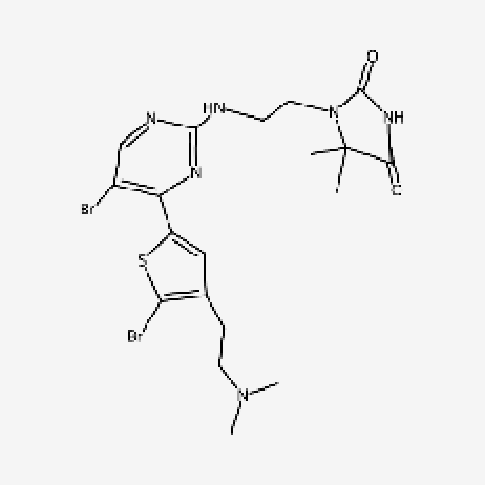 CN(C)CCc1cc(-c2nc(NCCN3C(=O)NC(=O)C3(C)C)ncc2Br)sc1Br